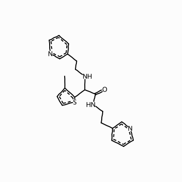 Cc1ccsc1C(NCCc1cccnc1)C(=O)NCCc1cccnc1